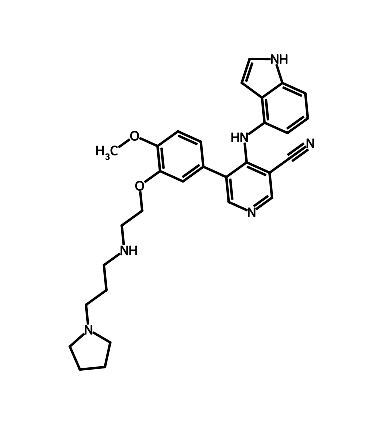 COc1ccc(-c2cncc(C#N)c2Nc2cccc3[nH]ccc23)cc1OCCNCCCN1CCCC1